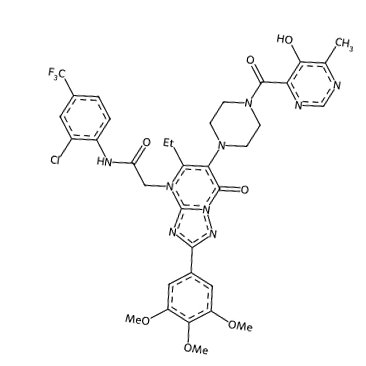 CCc1c(N2CCN(C(=O)c3ncnc(C)c3O)CC2)c(=O)n2nc(-c3cc(OC)c(OC)c(OC)c3)nc2n1CC(=O)Nc1ccc(C(F)(F)F)cc1Cl